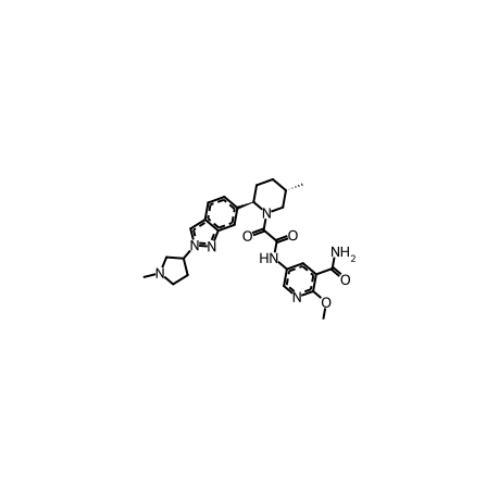 COc1ncc(NC(=O)C(=O)N2C[C@@H](C)CC[C@@H]2c2ccc3cn(C4CCN(C)C4)nc3c2)cc1C(N)=O